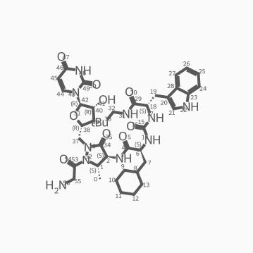 C[C@H]1[C@H](NC(=O)[C@H](CC2CCCCC2)NC(=O)N[C@@H](Cc2c[nH]c3ccccc23)C(=O)NCC(C)(C)C)C(=O)N(C[C@H]2C[C@@H](O)[C@H](n3ccc(=O)[nH]c3=O)O2)N1C(=O)CN